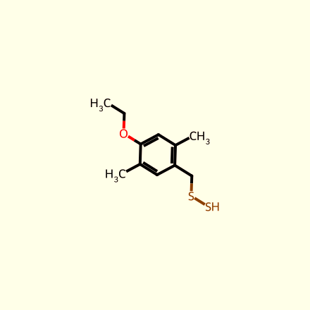 CCOc1cc(C)c(CSS)cc1C